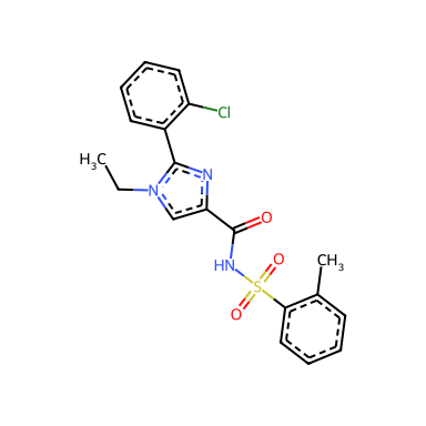 CCn1cc(C(=O)NS(=O)(=O)c2ccccc2C)nc1-c1ccccc1Cl